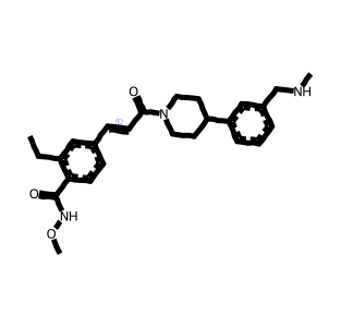 CCc1cc(/C=C/C(=O)N2CCC(c3cccc(CNC)c3)CC2)ccc1C(=O)NOC